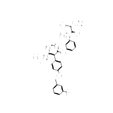 N#CC(Cl)C(=O)Nc1cccc(Oc2ncnc(N)c2-c2ccc(OCc3cccc(F)c3)cc2)c1